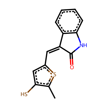 Cc1sc(/C=C2\C(=O)Nc3ccccc32)cc1S